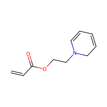 C=CC(=O)OCCN1C=CC=CC1